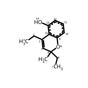 CCC1=CC(C)(CC)Oc2cccc(O)c21